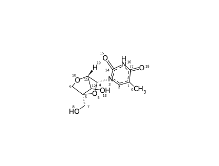 Cc1cn([C@@H]2O[C@@]3(CO)CO[C@H]2C3O)c(=O)[nH]c1=O